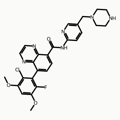 COc1cc(OC)c(Cl)c(-c2ccc(C(=O)Nc3ccc(CN4CCNCC4)cn3)c3nccnc23)c1F